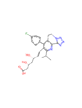 CC(C)c1nc2c(c(-c3ccc(F)cc3)c1/C=C/[C@@H](O)C[C@@H](O)CC(=O)O)CCn1nnnc1-2